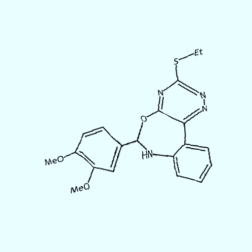 CCSc1nnc2c(n1)OC(c1ccc(OC)c(OC)c1)Nc1ccccc1-2